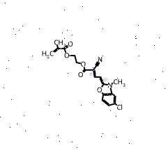 C=C(C)C(=O)OCCOC(=O)/C(C#N)=C/C=C1\Oc2ccc(Cl)cc2N1C